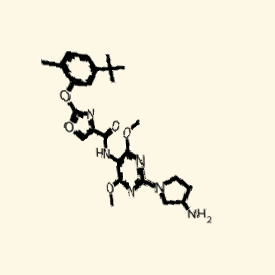 COc1nc(N2CCC(N)C2)nc(OC)c1NC(=O)c1coc(Oc2cc(C(C)(C)C)ccc2C)n1